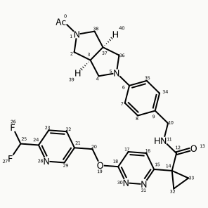 CC(=O)N1C[C@@H]2CN(c3ccc(CNC(=O)C4(c5ccc(OCc6ccc(C(F)F)nc6)nn5)CC4)cc3)C[C@@H]2C1